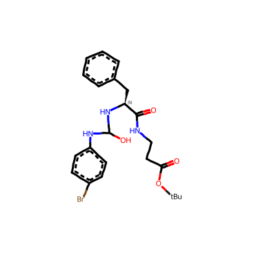 CC(C)(C)OC(=O)CCNC(=O)[C@H](Cc1ccccc1)NC(O)Nc1ccc(Br)cc1